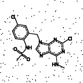 CNc1nc(Cl)nc2c1ncn2Cc1cc(Cl)ccc1NS(C)(=O)=O